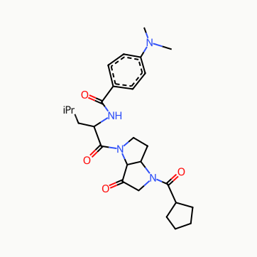 CC(C)CC(NC(=O)c1ccc(N(C)C)cc1)C(=O)N1CCC2C1C(=O)CN2C(=O)C1CCCC1